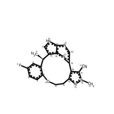 C[C@@H]1c2cc(F)ccc2OCCc2nn(C)c(C#N)c2-c2cnc3[nH]cc1c3n2